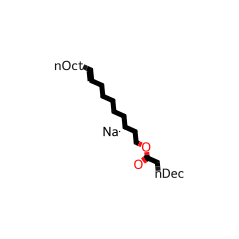 CCCCCCCCC=CCCCCCCCCOC(=O)CCCCCCCCCCC.[Na]